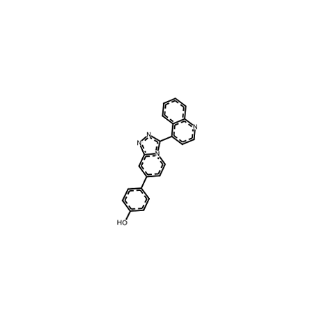 Oc1ccc(-c2ccn3c(-c4ccnc5ccccc45)nnc3c2)cc1